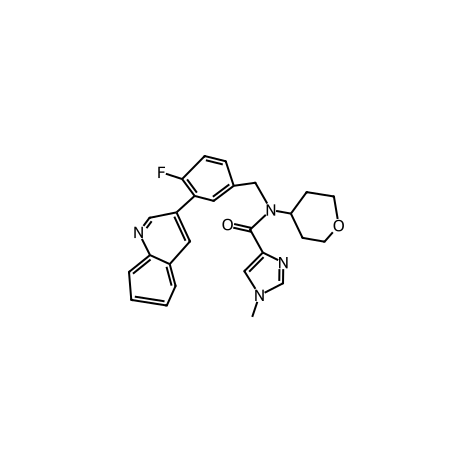 Cn1cnc(C(=O)N(Cc2ccc(F)c(-c3cnc4ccccc4c3)c2)C2CCOCC2)c1